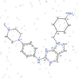 CN1CCN(c2ccc(Nc3ncc4cnn(CC5CCC(N)CC5)c4n3)cc2)CC1